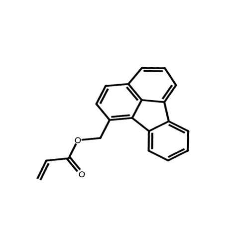 C=CC(=O)OCc1ccc2cccc3c2c1-c1ccccc1-3